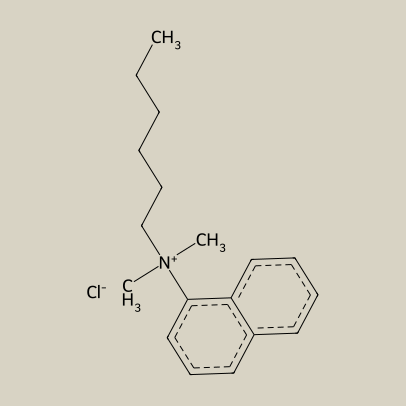 CCCCCC[N+](C)(C)c1cccc2ccccc12.[Cl-]